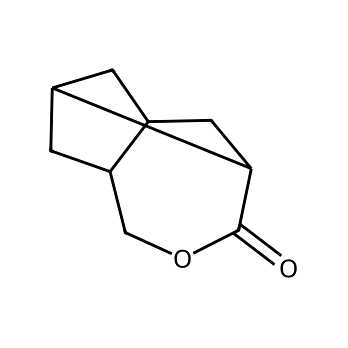 O=C1OCC2CC3CC2CC13